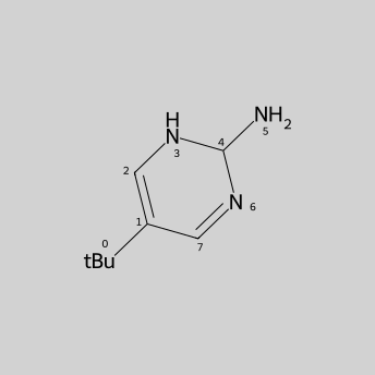 CC(C)(C)C1=CNC(N)N=C1